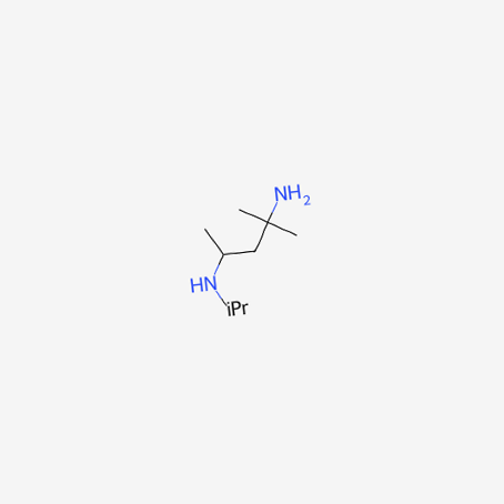 CC(C)NC(C)CC(C)(C)N